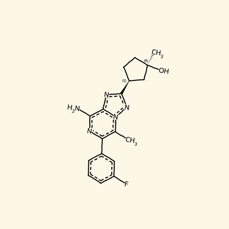 Cc1c(-c2cccc(F)c2)nc(N)c2nc([C@H]3CC[C@@](C)(O)C3)nn12